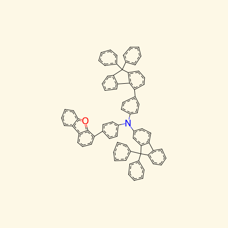 c1ccc(C2(c3ccccc3)c3ccccc3-c3ccc(N(c4ccc(-c5cccc6c5-c5ccccc5C6(c5ccccc5)c5ccccc5)cc4)c4ccc(-c5cccc6c5oc5ccccc56)cc4)cc32)cc1